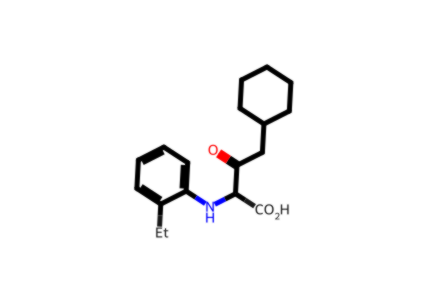 [CH2]Cc1ccccc1NC(C(=O)O)C(=O)CC1CCCCC1